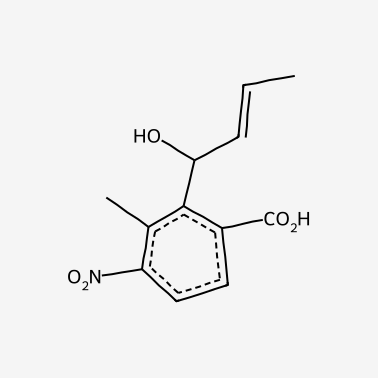 CC=CC(O)c1c(C(=O)O)ccc([N+](=O)[O-])c1C